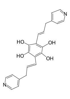 Oc1c(O)c(C=CCc2ccncc2)c(O)c(O)c1C=CCc1ccncc1